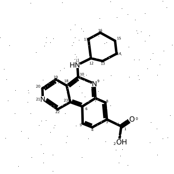 O=C(O)c1ccc2c(c1)nc(NC1CCCCC1)c1ccncc12